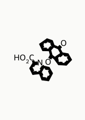 O=C(O)c1ccc2ccccc2n1.O=C1c2ccccc2C(=O)c2ccccc21